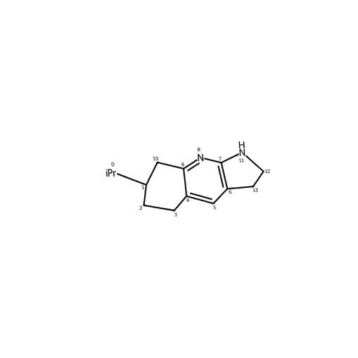 CC(C)C1CCc2cc3c(nc2C1)NCC3